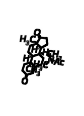 CC(=O)N(C)C.C[C@]12CCC(=O)C=C1CC[C@@H]1[C@@H]2CC[C@]2(C)C(=O)CC[C@@H]12